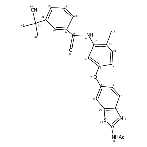 CC(=O)Nc1nc2ccc(Oc3ccc(C)c(NC(=O)c4cccc(C(C)(C)C#N)c4)c3)cc2s1